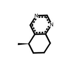 C[C@@H]1CCCc2ncncc21